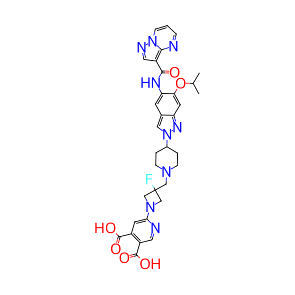 CC(C)Oc1cc2nn(C3CCN(CC4(F)CN(c5cc(C(=O)O)c(C(=O)O)cn5)C4)CC3)cc2cc1NC(=O)c1cnn2cccnc12